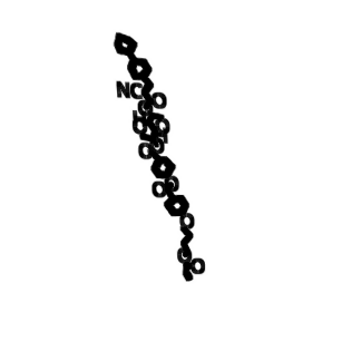 C=CC(=O)OCCCCOc1ccc(C(=O)Oc2ccc(C(=O)O[C@H]3CO[C@H]4[C@@H]3OC[C@H]4OC(=O)/C(C#N)=C/c3ccc(-c4ccccc4)cc3)cc2)cc1